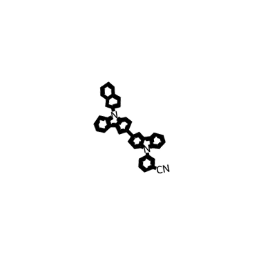 N#Cc1cccc(-n2c3ccccc3c3cc(-c4ccc5c(c4)c4ccccc4n5C4=CC=C5C=CC=CC5C4)ccc32)c1